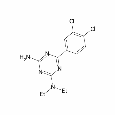 CCN(CC)c1nc(N)nc(-c2ccc(Cl)c(Cl)c2)n1